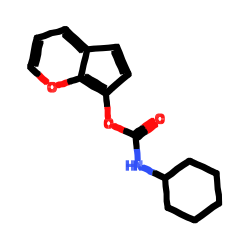 O=C(NC1CCCCC1)Oc1ccc2cccoc1-2